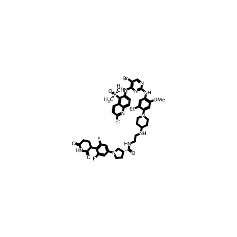 CCc1ccc2c(P(C)(C)=O)c(Nc3nc(Nc4cc(CC)c(N5CCC(NCCNC(=O)[C@@H]6CCN(c7cc(F)c(C8CCC(=O)NC8=O)c(F)c7)C6)CC5)cc4OC)ncc3Br)ccc2n1